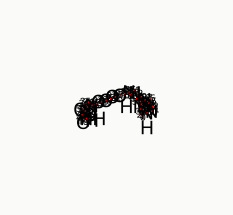 Cc1ccc(NC(=O)c2ccc(CN3CCN(CCCOCCOCCOCCOCCNc4cccc5c4C(=O)N(C4CCC(=O)NC4=O)C5=O)CC3)cc2)cc1Nc1nccc(-c2cccnc2)n1